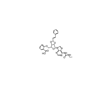 CCNC(=O)Nc1ncnc2c1ncn2C1OC(COc2ncccc2C(=O)O)C2OC(C=Cc3ccccc3)OC21